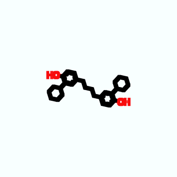 Oc1ccc(CCCCc2ccc(O)c(C3CCCCC3)c2)cc1C1CCCCC1